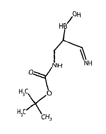 CC(C)(C)OC(=O)NCC(BO)C=N